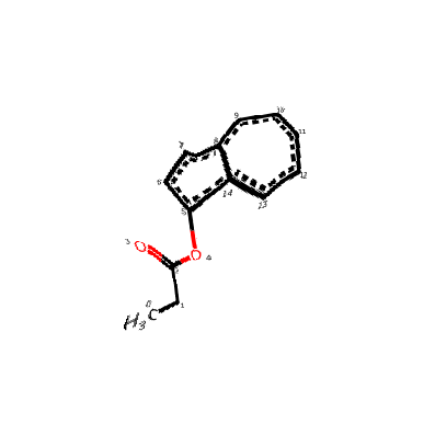 CCC(=O)Oc1ccc2cccccc1-2